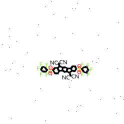 N#CC(C#N)=C1c2cc(S(=O)(=O)c3c(F)c(F)c(F)c(F)c3F)ccc2-c2cc3c(cc21)-c1ccc(S(=O)(=O)c2c(F)c(F)c(F)c(F)c2F)cc1C3=C(C#N)C#N